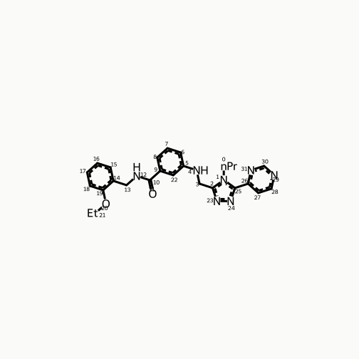 CCCn1c(CNc2cccc(C(=O)NCc3ccccc3OCC)c2)nnc1-c1ccncn1